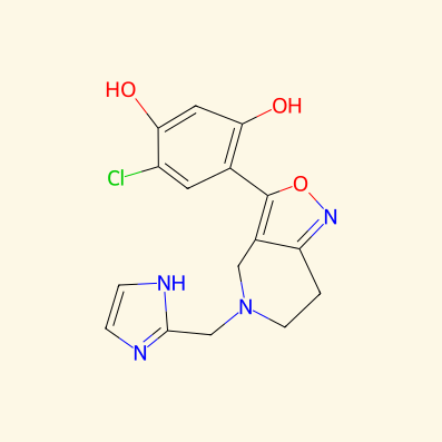 Oc1cc(O)c(-c2onc3c2CN(Cc2ncc[nH]2)CC3)cc1Cl